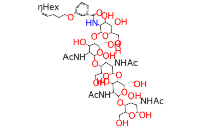 CCCCCC/C=C\CCCOc1cccc(C(=O)NC2[C@H](O[C@H]3C(O)C(NC(C)=O)[C@H](OC4C(CO)O[C@@H](O[C@H]5C(O)C(NC(C)=O)C(OC6C(CO)OC(O)[C@@H](NC(C)=O)[C@H]6O)O[C@H]5CO)[C@@H](NC(C)=O)[C@H]4O)O[C@H]3CO)OC(CO)[C@@H](O)[C@@H]2O)c1